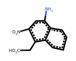 Nc1cc([N+](=O)[O-])c(CC(=O)O)c2ccccc12